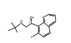 CC(C)(C)NC[C@@H](O)c1c(F)ccc2cccnc12